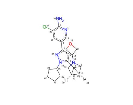 Nc1ncc(-c2cc(C34C5[C@H]3[C@H]4CN5C3COC3)n(C3CCCC3)n2)cc1Cl